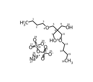 CCCCOCC(CO)(CO)COCCCC.O=S(=O)([O-])OS(=O)(=O)[O-].[Na+].[Na+]